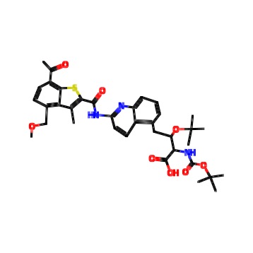 COCc1ccc(C(C)=O)c2sc(C(=O)Nc3ccc4c(CC(OC(C)(C)C)C(NC(=O)OC(C)(C)C)C(=O)O)cccc4n3)c(C)c12